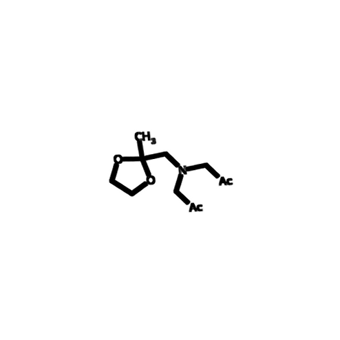 CC(=O)CN(CC(C)=O)CC1(C)OCCO1